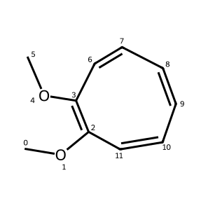 COC1=C(OC)C=CC=CC=C1